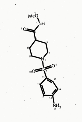 CONC(=O)C1CCN(S(=O)(=O)c2ccc(N)cc2)CC1